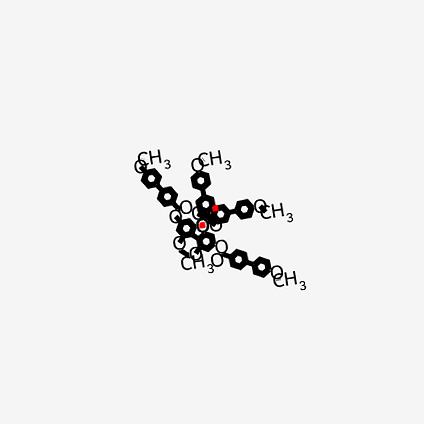 COc1ccc(-c2ccc(C(=O)Oc3cc4c(c(OC(=O)c5ccc(-c6ccc(OC)cc6)cc5)c3)-c3c(OC(=O)c5ccc(-c6ccc(OC)cc6)cc5)cc(OC(=O)c5ccc(-c6ccc(OC)cc6)cc5)cc3O[C@H](C)CO4)cc2)cc1